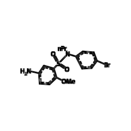 CCCN(c1ccc(Br)cc1)S(=O)(=O)c1cc(N)ccc1OC